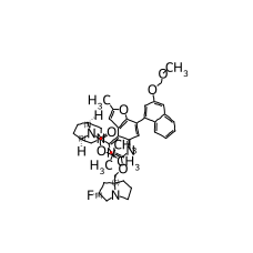 COCOc1cc(-c2cc3nc(OC[C@@]45CCCN4C[C@H](F)C5)nc(N4C[C@H]5CC[C@@H](C4)N5C(=O)OC(C)(C)C)c3c3cc(C)oc23)c2ccccc2c1